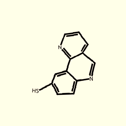 Sc1ccc2ncc3cccnc3c2c1